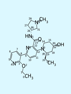 CCOc1ncccc1-c1ccc(N2CC[C@@H](O)C[C@H]2CC)c(C(=O)N[C@@H]2CCN(C)C2)n1